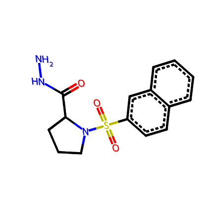 NNC(=O)C1CCCN1S(=O)(=O)c1ccc2ccccc2c1